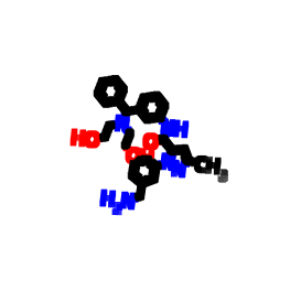 Cc1cc(C(=O)Nc2cccc(C(c3ccccc3)N(CCO)CCO)c2)n(-c2cccc(CN)c2)n1